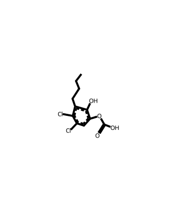 CCCCc1c(O)c(OC(=O)O)cc(Cl)c1Cl